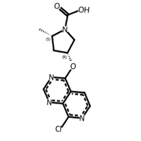 C[C@H]1C[C@@H](Oc2ncnc3c(Cl)nccc23)CN1C(=O)O